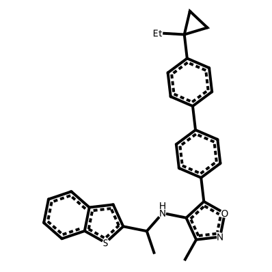 CCC1(c2ccc(-c3ccc(-c4onc(C)c4NC(C)c4cc5ccccc5s4)cc3)cc2)CC1